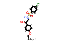 O=C(O)COc1ccc(C(O)CNS(=O)(=O)c2ccc(Cl)cc2)cc1